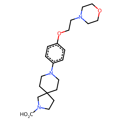 O=C(O)N1CCC2(CCN(c3ccc(OCCN4CCOCC4)cc3)CC2)C1